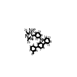 Cc1cccc(-c2ccc3c4ccccc4n(-c4ccc(C#N)c(-c5nc(C)nc(C)n5)c4)c3c2)c1